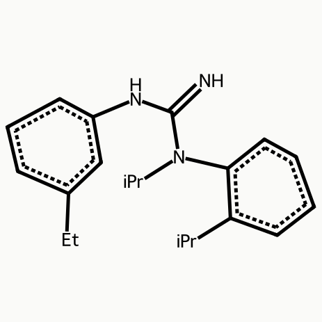 CCc1cccc(NC(=N)N(c2ccccc2C(C)C)C(C)C)c1